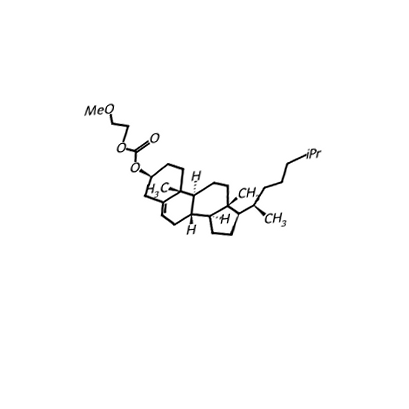 COCCOC(=O)O[C@H]1CC[C@@]2(C)C(=CC[C@H]3[C@@H]4CC[C@H]([C@H](C)CCCC(C)C)[C@@]4(C)CC[C@@H]32)C1